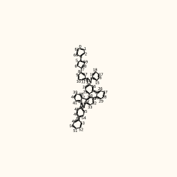 c1ccc(-c2ccc(-c3cccc(N(c4ccccc4)c4cccc(-c5ccccc5-c5ccc6c(c5)c5ccccc5n6-c5ccc(-c6ccccc6)cc5)c4)c3)cc2)cc1